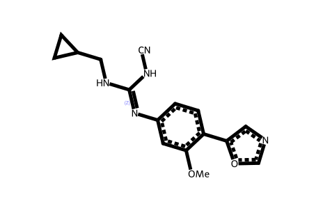 COc1cc(/N=C(\NC#N)NCC2CC2)ccc1-c1cnco1